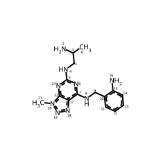 CC(N)CNc1nc(NCc2ccccc2N)c2nnn(C)c2n1